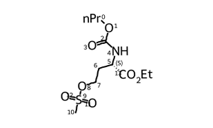 CCCOC(=O)N[C@@H](CCOS(C)(=O)=O)C(=O)OCC